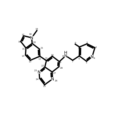 Cc1ccncc1CNc1cc(-c2ccc3ccn(C)c3c2)c2nccnc2c1